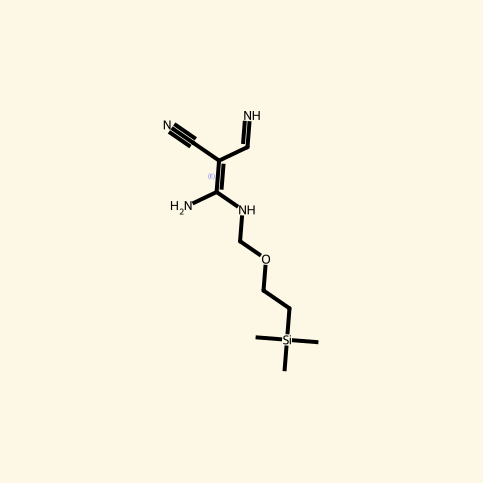 C[Si](C)(C)CCOCN/C(N)=C(/C#N)C=N